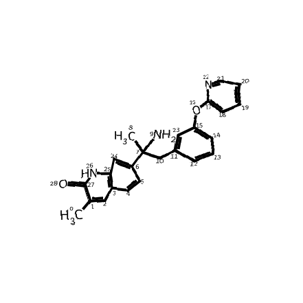 Cc1cc2ccc(C(C)(N)Cc3cccc(Oc4ccccn4)c3)cc2[nH]c1=O